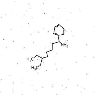 CCN(CC)CCCCC(N)c1ccccc1